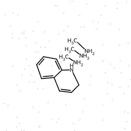 C1=Cc2ccccc2NC1.CN.CN.CN